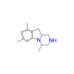 Cc1cc(C)c2c(c1)N1C(C)CNCC1C2